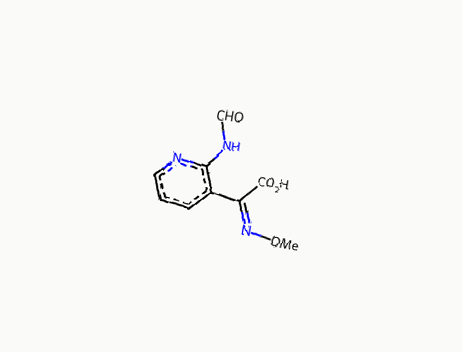 CO/N=C(\C(=O)O)c1cccnc1NC=O